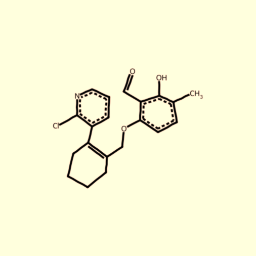 Cc1ccc(OCC2=C(c3cccnc3Cl)CCCC2)c(C=O)c1O